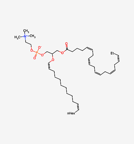 CC/C=C\C/C=C\C/C=C\C/C=C\C/C=C\CCCC(=O)OCC(COP(=O)([O-])OCC[N+](C)(C)C)O/C=C\CCCCCCCC/C=C\CCCCCC